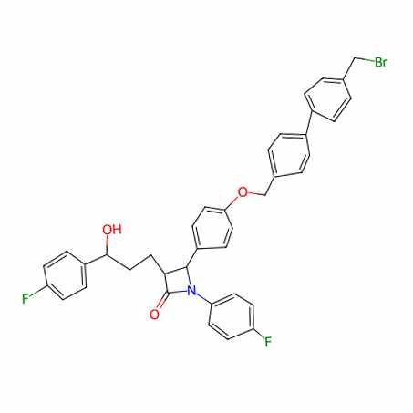 O=C1C(CCC(O)c2ccc(F)cc2)C(c2ccc(OCc3ccc(-c4ccc(CBr)cc4)cc3)cc2)N1c1ccc(F)cc1